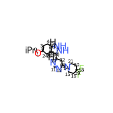 CC(C)OC1=CC[C@H]2NN[C@@H](C3=NC=N[C@H](N4CCC(F)(F)CC4)C3)[C@H]2C1